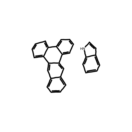 c1ccc2[nH]ccc2c1.c1ccc2cc3c4ccccc4c4ccccc4c3cc2c1